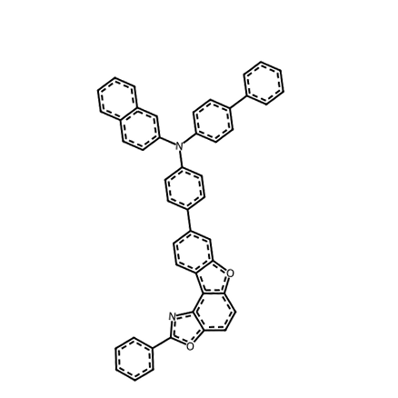 c1ccc(-c2ccc(N(c3ccc(-c4ccc5c(c4)oc4ccc6oc(-c7ccccc7)nc6c45)cc3)c3ccc4ccccc4c3)cc2)cc1